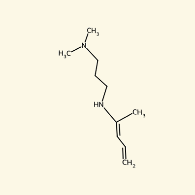 C=C/C=C(\C)NCCCN(C)C